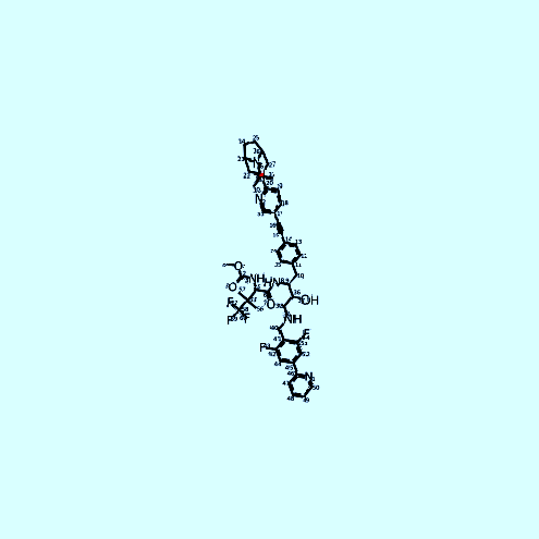 COC(=O)NC(C(=O)N[C@@H](Cc1ccc(C#Cc2ccc(N3CC4CCC(C3)N4C(C)C)nc2)cc1)[C@@H](O)CNCc1c(F)cc(-c2ccccn2)cc1F)C(C)(C)C(F)(F)F